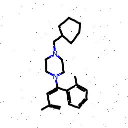 C=C(C)/C=C(\c1ccccc1C)N1CCN(CC2CCCCC2)CC1